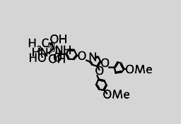 COc1ccc(COc2cnc(COc3ccc(C(=O)N[C@H](C(O)NO)[C@@H](C)O)cc3)cc2OCc2ccc(OC)cc2)cc1